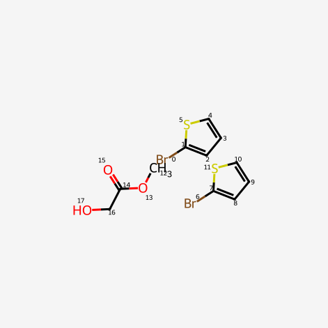 Brc1cccs1.Brc1cccs1.COC(=O)CO